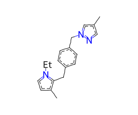 CCn1ccc(C)c1Cc1ccc(Cn2cc(C)cn2)cc1